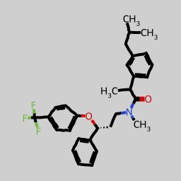 CC(C)Cc1cccc(C(C)C(=O)N(C)CC[C@@H](Oc2ccc(C(F)(F)F)cc2)c2ccccc2)c1